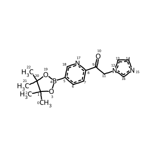 CC1(C)OB(c2ccc(C(=O)Cn3ccnc3)nc2)OC1(C)C